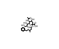 CC(=O)NC1C(O)CC(OCCC(C)CCc2ccccc2)(C(=O)O)OC1C(O)C(O)CO